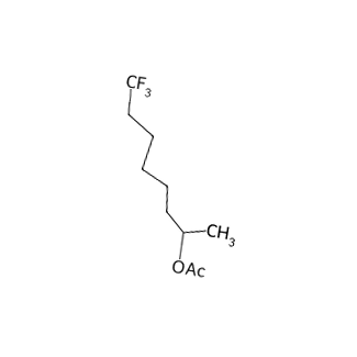 CC(=O)OC(C)CCCCCC(F)(F)F